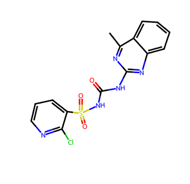 Cc1nc(NC(=O)NS(=O)(=O)c2cccnc2Cl)nc2ccccc12